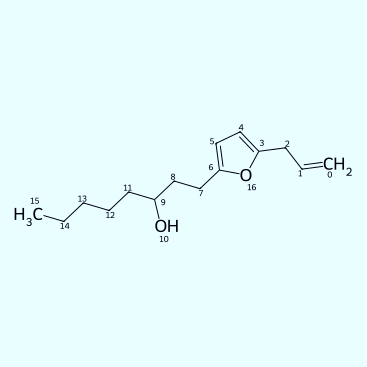 C=CCc1ccc(CCC(O)CCCCC)o1